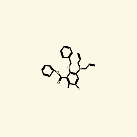 C=CCN(CC=C)c1cc(F)c(C)c(C(=O)Oc2ccccc2)c1OCc1ccccc1